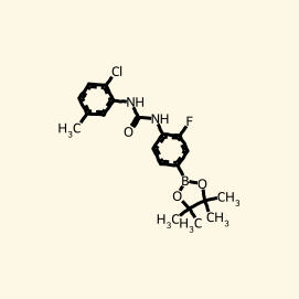 Cc1ccc(Cl)c(NC(=O)Nc2ccc(B3OC(C)(C)C(C)(C)O3)cc2F)c1